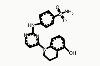 NS(=O)(=O)c1ccc(Nc2nccc(N3CCCc4c(O)cccc43)n2)cc1